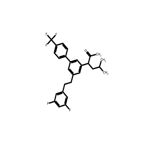 CC(=O)C(CC(C)C)c1cc(CCc2cc(F)cc(F)c2)cc(-c2ccc(C(F)(F)F)cc2)c1